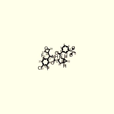 CS(=O)(=O)c1cccc(C(=O)N2[C@@H](C(=O)NC(c3cc(F)c(Cl)cc3F)C3COC3)C[C@H]3C[C@H]32)c1